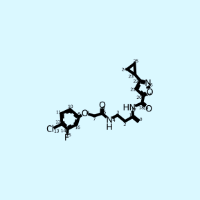 C=C(CCNC(=O)COc1ccc(Cl)c(F)c1)NC(=O)c1cc(C2CC2)no1